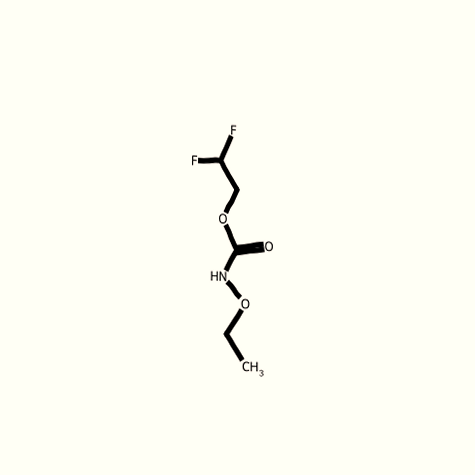 CCONC(=O)OCC(F)F